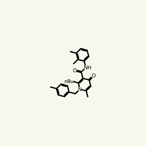 CCCCc1c(C(=O)Nc2cccc(C)c2C)c(=O)cc(C)n1Cc1ccc(C)cc1